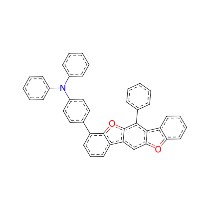 c1ccc(-c2c3oc4c(-c5ccc(N(c6ccccc6)c6ccccc6)cc5)cccc4c3cc3oc4ccccc4c23)cc1